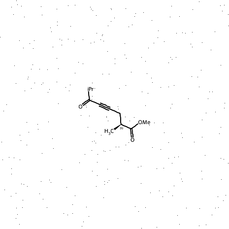 COC(=O)[C@@H](C)CC#CC(=O)C(C)C